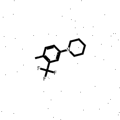 Cc1ccc(N2CCCCC2)cc1C(F)(F)F